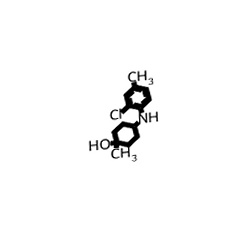 Cc1ccc(NC2CCC(C)(O)CC2)c(Cl)c1